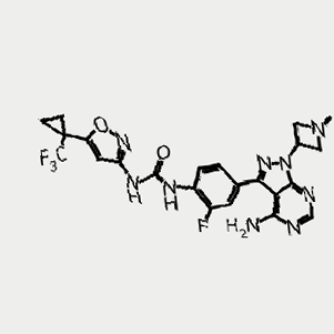 CN1CC(n2nc(-c3ccc(NC(=O)Nc4cc(C5(C(F)(F)F)CC5)on4)c(F)c3)c3c(N)ncnc32)C1